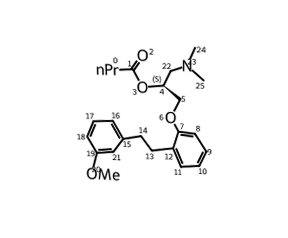 CCCC(=O)O[C@H](COc1ccccc1CCc1cccc(OC)c1)CN(C)C